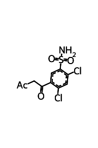 CC(=O)CC(=O)c1cc(S(N)(=O)=O)c(Cl)cc1Cl